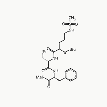 CNC(=O)[C@H](Cc1ccccc1)NC(=O)[C@H](CC(C)C)NC(=O)C(CCCNS(C)(=O)=O)SC(C)(C)C